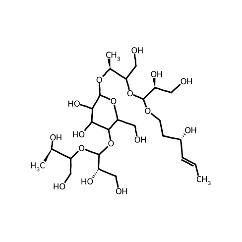 C/C=C/[C@@H](O)CCOC(OC(CO)[C@H](C)OC1OC(CO)C(OC(OC(CO)[C@@H](C)O)[C@@H](O)CO)C(O)C1O)[C@@H](O)CO